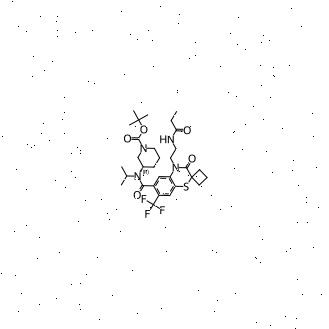 CCC(=O)NCCN1C(=O)C2(CCC2)Sc2cc(C(F)(F)F)c(C(=O)N(C(C)C)[C@@H]3CCCN(C(=O)OC(C)(C)C)C3)cc21